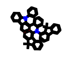 CC1(C)c2ccccc2-c2c(N(c3ccccc3-c3cccc4c5ccccc5n(-c5ccccc5)c34)c3cccc4c3C(C)(C)c3ccccc3-4)cccc21